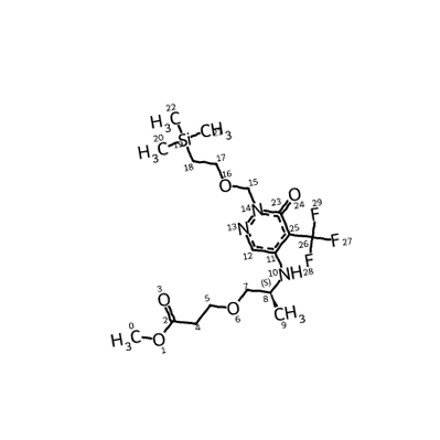 COC(=O)CCOC[C@H](C)Nc1cnn(COCC[Si](C)(C)C)c(=O)c1C(F)(F)F